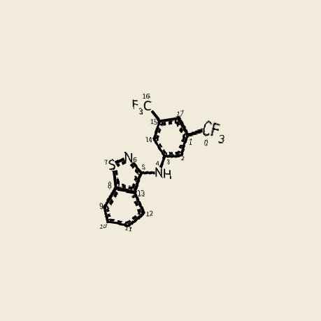 FC(F)(F)c1cc(Nc2nsc3ccccc23)cc(C(F)(F)F)c1